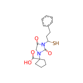 O=C1CN(C2(C(=O)O)CCCC2)C(=O)N1C(S)CCc1ccccc1